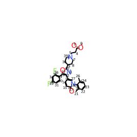 COC(=O)CCN1CCC(c2nc(-c3ccc(=O)n(-c4c(C)cccc4C)c3)c(-c3ccc(F)cc3F)o2)CC1